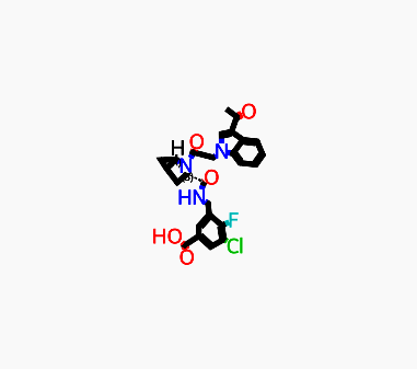 CC(=O)c1cn(CC(=O)N2[C@@H]3CC3C[C@H]2C(=O)NCc2cc(C(=O)O)cc(Cl)c2F)c2ccccc12